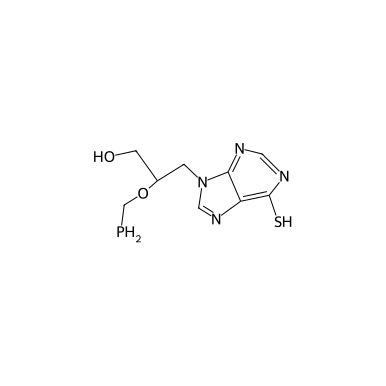 OCC(Cn1cnc2c(S)ncnc21)OCP